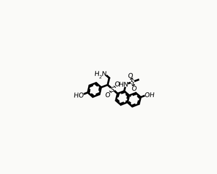 CS(=O)(=O)Nc1c(S(=O)(=O)C(CN)c2ccc(O)cc2)ccc2ccc(O)cc12